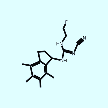 Cc1c(C)c(C)c2c(c1C)CCC2N/C(=N/C#N)NCCF